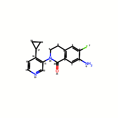 Nc1cc2c(cc1F)CCN(c1cnccc1C1CC1)C2=O